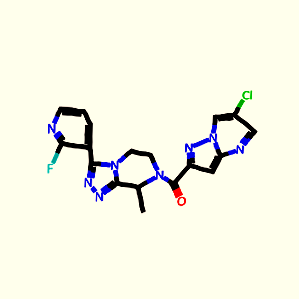 CC1c2nnc(-c3cccnc3F)n2CCN1C(=O)c1cc2ncc(Cl)cn2n1